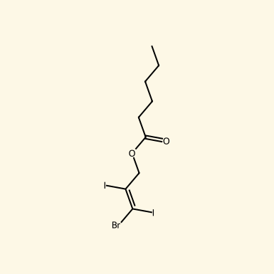 CCCCCC(=O)OCC(I)=C(Br)I